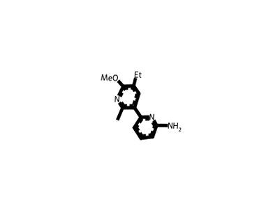 CCc1cc(-c2cccc(N)n2)c(C)nc1OC